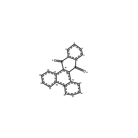 O=C1c2ccccc2C(=O)c2c1c1ccccc1c1ccccc21